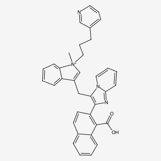 C[N+]1(CCCc2cccnc2)C=C(Cc2c(-c3ccc4ccccc4c3C(=O)O)nc3ccccn23)c2ccccc21